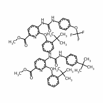 COC(=O)c1ccc(NC(=O)Nc2ccc(C(C)(C)C)cc2)c(Oc2ccccc2C(C)(C)C)n1.COC(=O)c1ccc(NC(=O)Nc2ccc(OC(F)(F)F)cc2)c(Oc2ccccc2C(C)(C)C)n1